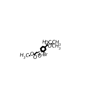 CCOC(=O)C[S+]([O-])c1ccc(C(=O)OC(C)(C)C)cc1Br